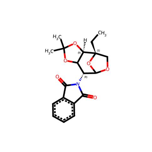 CC[C@@]12COC(O1)[C@H](N1C(=O)c3ccccc3C1=O)C1OC(C)(C)O[C@H]12